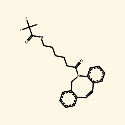 O=C(CCCCCNC(=O)C(F)(F)F)N1Cc2ccccc2C=Cc2ccccc21